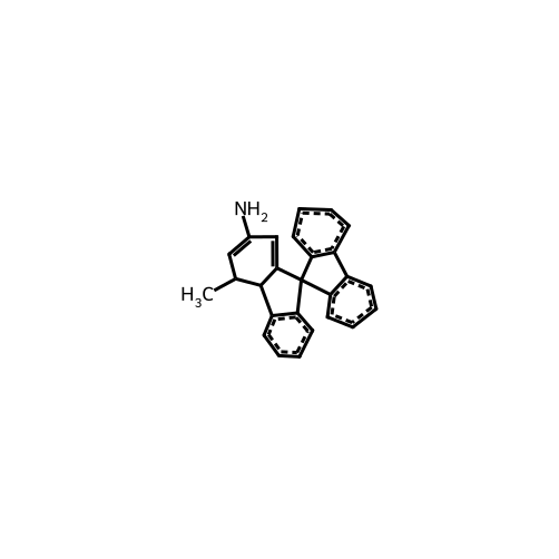 CC1C=C(N)C=C2C1c1ccccc1C21c2ccccc2-c2ccccc21